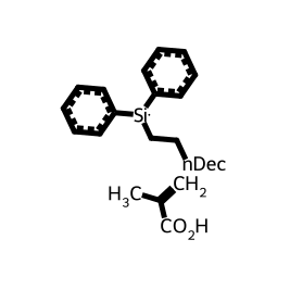 C=C(C)C(=O)O.CCCCCCCCCCCC[Si](c1ccccc1)c1ccccc1